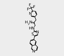 N[C@H](CNc1ncc(-c2ccc3cnccc3c2)s1)Cc1ccc(C(F)(F)F)nc1